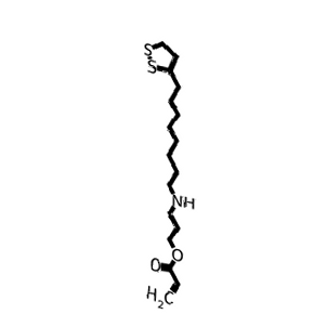 C=CC(=O)OCCCNCCCCCCCCC1CCSS1